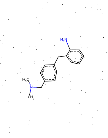 CN(C)Cc1ccc(Cc2cc[c]cc2N)cc1